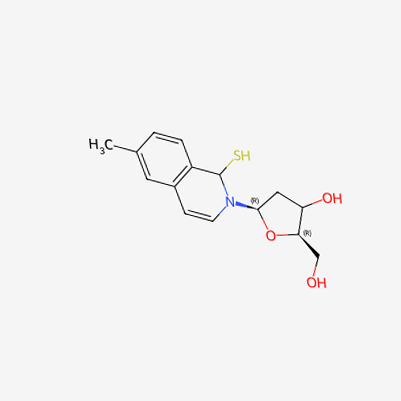 Cc1ccc2c(c1)C=CN([C@H]1CC(O)[C@@H](CO)O1)C2S